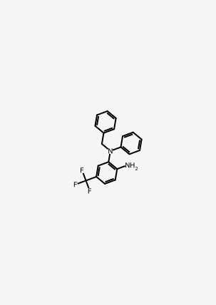 Nc1ccc(C(F)(F)F)cc1N(Cc1ccccc1)c1ccccc1